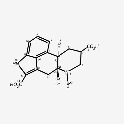 CC(C)N1CC(C(=O)O)C[C@@H]2c3cccc4[nH]c(C(=O)O)c(c34)C[C@H]21